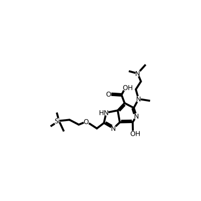 CN(C)CCN(C)c1nc(O)c2nc(COCC[Si](C)(C)C)[nH]c2c1C(=O)O